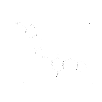 CN(C)[C@@H](CNc1nc(=O)cc(Cc2ccsc2)[nH]1)Cc1ccc(O)cc1